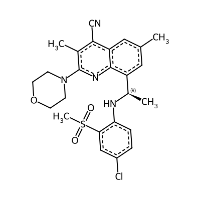 Cc1cc([C@@H](C)Nc2ccc(Cl)cc2S(C)(=O)=O)c2nc(N3CCOCC3)c(C)c(C#N)c2c1